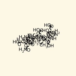 CC(C)C[C@H](NC(=O)[C@H](CCC(=O)O)NC(=O)[C@H](C)NC(=O)CNC(=O)[C@H](CCC(N)=O)NC(=O)[C@H](CCC(=O)O)N(C)C(=O)[C@@H](N)[C@@H](C)O)C(=O)N1C[C@H](O)C[C@H]1C(=O)N[C@H](CC(N)=O)C(=O)N[C@@H](CCC(=O)O)C(=O)O